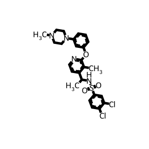 Cc1c(C(C)NS(=O)(=O)c2ccc(Cl)c(Cl)c2)ccnc1Oc1cccc(N2CCN(C)CC2)c1